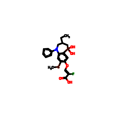 CCC1CN(c2ccccc2)c2cc(SC)c(O/C=C(\F)C(=O)O)cc2S(O)(O)C1